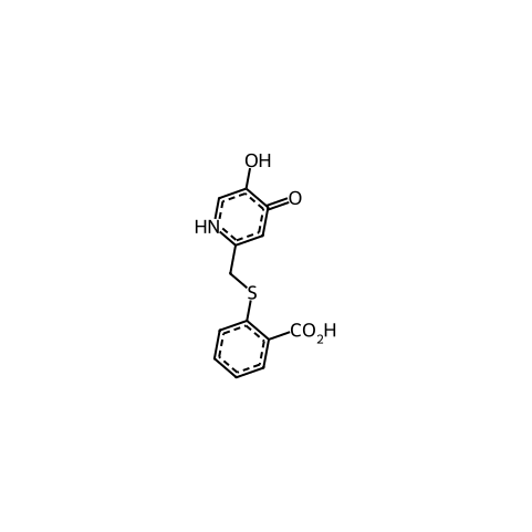 O=C(O)c1ccccc1SCc1cc(=O)c(O)c[nH]1